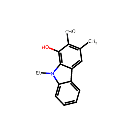 CCn1c2ccccc2c2cc(C)c(C=O)c(O)c21